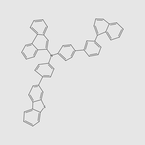 c1cc(-c2ccc(N(c3ccc(-c4ccc5c(c4)sc4ccccc45)cc3)c3cc4ccccc4c4ccccc34)cc2)cc(-c2cccc3ccccc23)c1